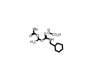 CC(OC(=O)NCC1CCCCC1)OC(=O)C(C)(C)C.O=C(O)O